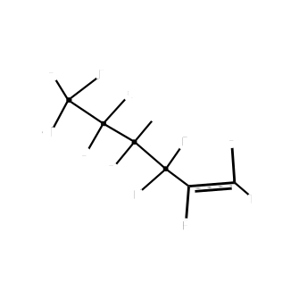 FC(F)=C(F)C(F)(F)C(F)(F)C(F)(Cl)C(F)(F)Cl